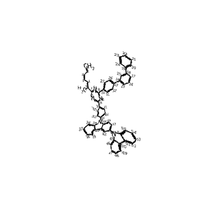 C=C/C=C\C=C(/C)c1nc(-c2ccc(-c3cccc(-c4ccccc4)c3)cc2)nc(-c2ccc(-n3c4ccccc4c4cc(-n5c6ccccc6c6ccccc65)ccc43)cc2)n1